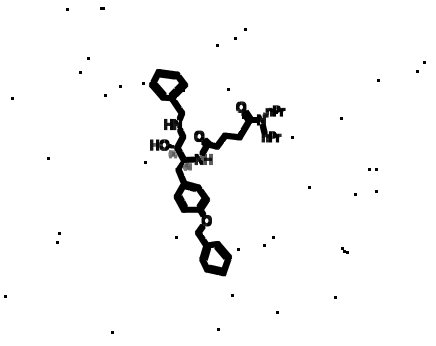 CCCN(CCC)C(=O)CCCC(=O)N[C@@H](Cc1ccc(OCc2ccccc2)cc1)[C@H](O)CNCc1ccccc1